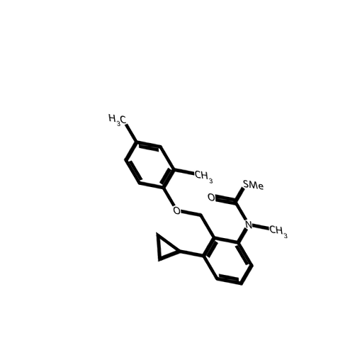 CSC(=O)N(C)c1cccc(C2CC2)c1COc1ccc(C)cc1C